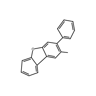 Cc1cc2c(cc1-c1ccccc1)oc1ccccc12